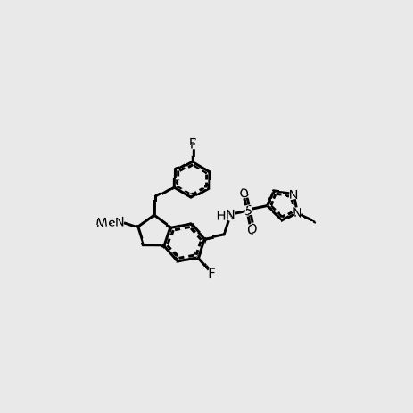 CNC1Cc2cc(F)c(CNS(=O)(=O)c3cnn(C)c3)cc2C1Cc1cccc(F)c1